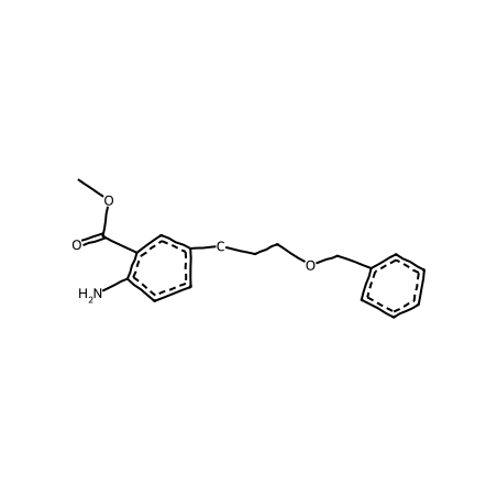 COC(=O)c1cc(CCCOCc2ccccc2)ccc1N